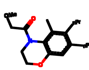 CCCc1cc2c(c(C)c1CCC)N(C(=O)COC)CCO2